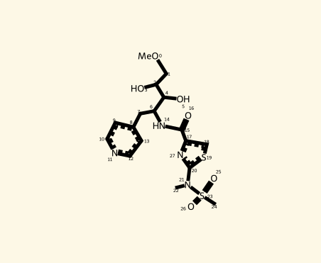 COCC(O)C(O)C(Cc1ccncc1)NC(=O)c1csc(N(C)S(C)(=O)=O)n1